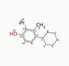 Cc1c(C2CCCCC2)ccc(O)c1C(C)C